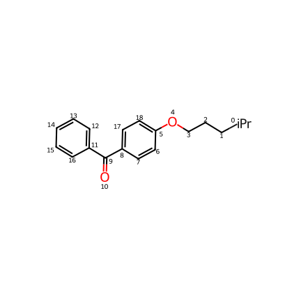 CC(C)CCCOc1ccc(C(=O)c2ccccc2)cc1